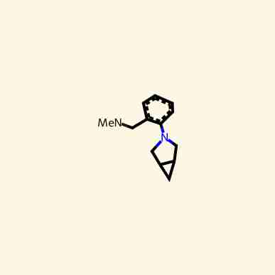 CNCc1ccccc1N1CC2CC2C1